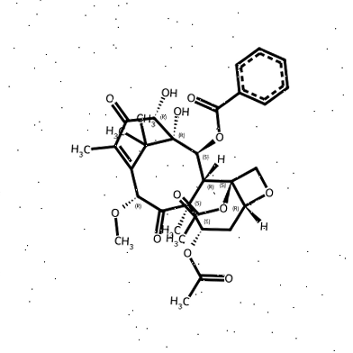 CO[C@H]1C(=O)[C@]2(C)[C@@H](OC(C)=O)C[C@H]3OC[C@@]3(OC(C)=O)[C@H]2[C@H](OC(=O)c2ccccc2)[C@]2(O)[C@@H](O)C(=O)C(C)=C1C2(C)C